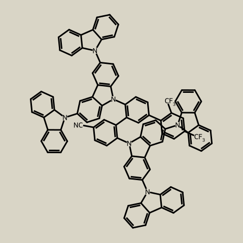 N#Cc1ccc(-n2c3ccc(-n4c5ccccc5c5ccccc54)cc3c3cc(-n4c5ccccc5c5ccccc54)ccc32)c(-c2cc(-c3ccc(C(F)(F)F)cc3C(F)(F)F)ccc2-n2c3ccc(-n4c5ccccc5c5ccccc54)cc3c3cc(-n4c5ccccc5c5ccccc54)ccc32)c1